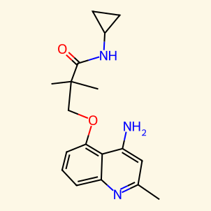 Cc1cc(N)c2c(OCC(C)(C)C(=O)NC3CC3)cccc2n1